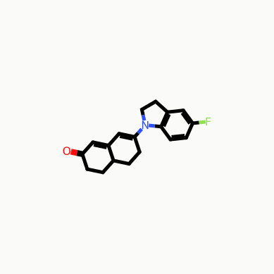 O=C1C=C2C=C(N3CCc4cc(F)ccc43)CCC2CC1